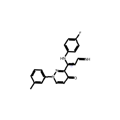 Cc1cccc(-n2ccc(=O)c(/C(=C/C=N)Nc3ccc(F)cc3)n2)c1